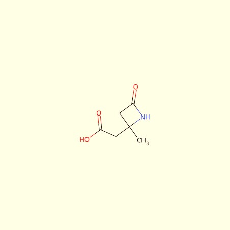 CC1(CC(=O)O)CC(=O)N1